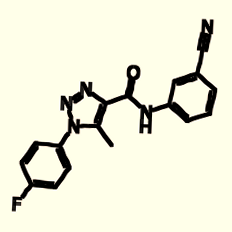 Cc1c(C(=O)Nc2cccc(C#N)c2)nnn1-c1ccc(F)cc1